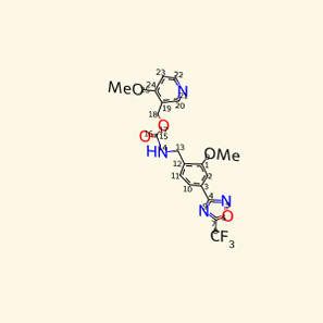 COc1cc(-c2noc(C(F)(F)F)n2)ccc1CNC(=O)OCc1cnccc1OC